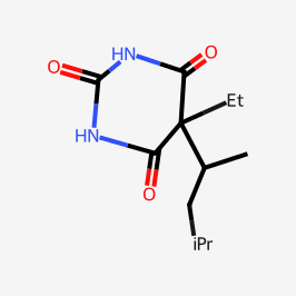 CCC1(C(C)CC(C)C)C(=O)NC(=O)NC1=O